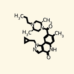 CCCN1C[C@H](C)N(C(=O)c2cc3c(cc2C)[nH]c(=O)c2cnn(CC4CC4)c23)C[C@H]1C